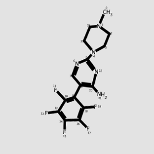 CN1CCN(c2ncc(-c3c(F)c(F)c(F)c(F)c3F)c(N)n2)CC1